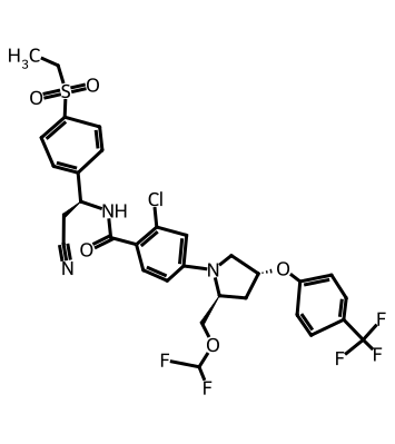 CCS(=O)(=O)c1ccc([C@H](CC#N)NC(=O)c2ccc(N3C[C@H](Oc4ccc(C(F)(F)F)cc4)C[C@H]3COC(F)F)cc2Cl)cc1